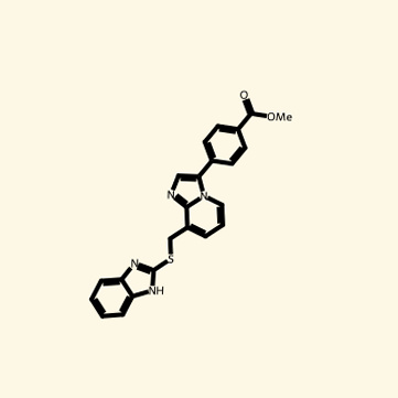 COC(=O)c1ccc(-c2cnc3c(CSc4nc5ccccc5[nH]4)cccn23)cc1